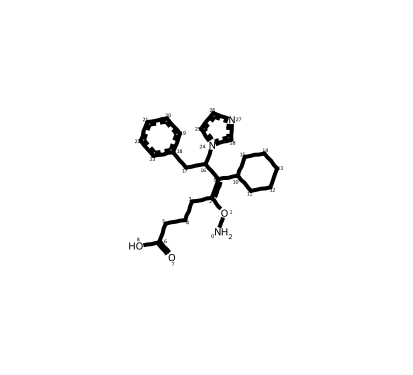 NO/C(CCCC(=O)O)=C(\C1CCCCC1)C(Cc1ccccc1)n1ccnc1